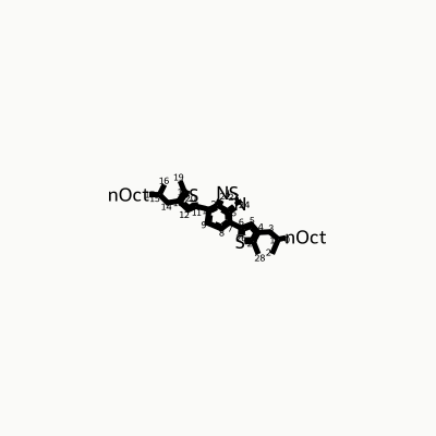 CCCCCCCCC(C)Cc1cc(-c2ccc(-c3cc(CC(C)CCCCCCCC)c(C)s3)c3nsnc23)sc1C